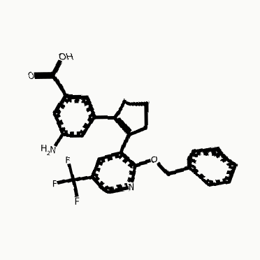 Nc1cc(C(=O)O)cc(C2=C(c3cc(C(F)(F)F)cnc3OCc3ccccc3)CCC2)c1